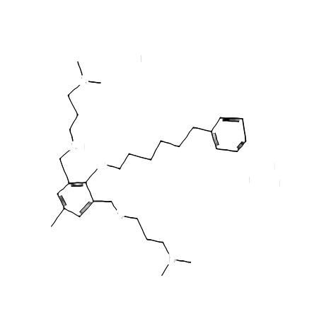 Cc1cc(CNCCCN(C)C)c(OCCCCCCc2ccccc2)c(CNCCCN(C)C)c1.Cl.Cl.Cl.Cl